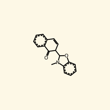 CN1c2ccccc2OC1C1C=Cc2ccccc2C1=O